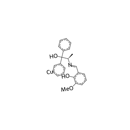 COc1cccc(C=N[C@H](C)C(O)(c2ccccc2)c2ccccc2)c1O.[Cu]